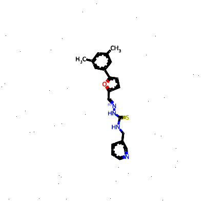 Cc1cc(C)cc(-c2ccc(/C=N/NC(=S)NCc3cccnc3)o2)c1